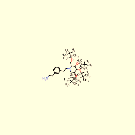 CC(C)(C)[Si](C)(C)OC[C@@H]1C(O[Si](C)(C)C(C)(C)C)C(O[Si](C)(C)C(C)(C)C)C(O[Si](C)(C)C(C)(C)C)CN1CCc1cccc(CCN)c1